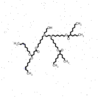 CC/C=C\CCCCOC(CCC(=O)OCCCCCCN(CCCO)CCN(CCCCCCOC(=O)C(CCCC)CCCCCC)CCCCCCOC(=O)C(CCCC)CCCCCC)OCCCC/C=C\CC